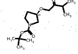 CC(C)C(=O)CO[C@@H]1CCN(C(=O)OC(C)(C)C)C1